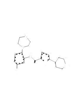 O=C(Nc1cc(C(F)(F)F)ccc1N1CCNCC1)c1ccc(C2CCOCC2)o1